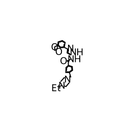 CCN1CCN(Cc2ccc(C(=O)Nc3cc(-c4cccc5c4OCO5)n[nH]3)cc2)CC1